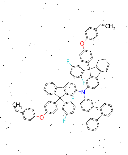 C=Cc1ccc(Oc2ccc(C3(c4cc(F)ccc4F)C4=C(C=CCC4)c4ccc(N(c5cccc(-c6ccccc6-c6ccccc6)c5)c5ccc6c(c5)C(c5ccc(Oc7ccc(C=C)cc7)cc5)(c5cc(F)ccc5F)c5ccccc5-6)cc43)cc2)cc1